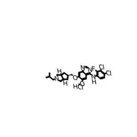 COc1cc2c(Nc3ccc(Cl)c(Cl)c3F)ncnc2cc1OC[C@H]1C[C@@H]2CN(CC(C)C)C[C@@H]2C1.Cl